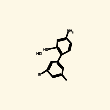 Cc1cc(Br)cc(-c2ccc(N)cc2O)c1.Cl